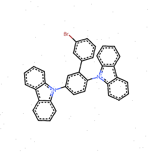 Brc1cccc(-c2cc(-n3c4ccccc4c4ccccc43)ccc2-n2c3ccccc3c3ccccc32)c1